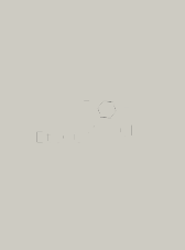 CCOC(=O)C1C2CC(C)c3c(F)ccc(F)c3C21